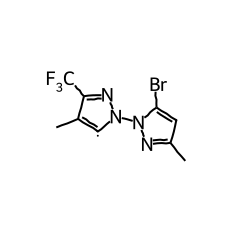 Cc1cc(Br)n(-n2[c]c(C)c(C(F)(F)F)n2)n1